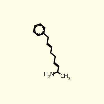 CC(N)C=CCCC=CCc1ccccc1